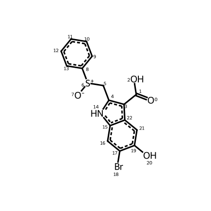 O=C(O)c1c(C[S+]([O-])c2ccccc2)[nH]c2cc(Br)c(O)cc12